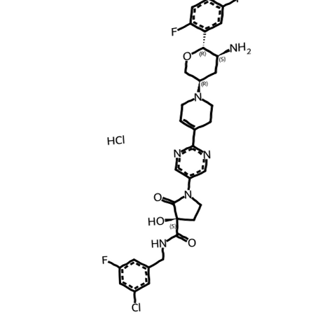 Cl.N[C@H]1C[C@@H](N2CC=C(c3ncc(N4CC[C@](O)(C(=O)NCc5cc(F)cc(Cl)c5)C4=O)cn3)CC2)CO[C@@H]1c1cc(F)ccc1F